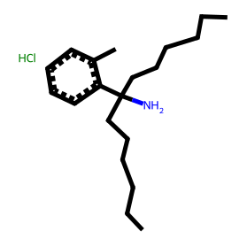 CCCCCCC(N)(CCCCCC)c1ccccc1C.Cl